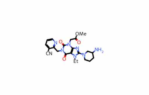 CCn1c(N2CCCC(N)C2)nc2c1c(=O)n(Cc1ncccc1C#N)c(=O)n2CC(=O)OC